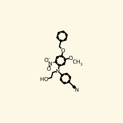 COc1cc(N(CCO)c2ccc(C#N)cc2)c([N+](=O)[O-])cc1OCc1ccccc1